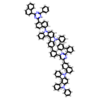 c1ccc(-c2nc(-c3cccc4ccccc34)nc(-c3cccc4c(-n5c6ccccc6c6c7c8ccc(-c9cccc(-c%10cc(-c%11ccc%12c(-n%13c%14ccccc%14c%14c%15c%16ccccc%16n(-c%16ccccc%16)c%15ccc%14%13)cccc%12c%11)nc(-c%11ccccc%11-c%11ccccc%11)n%10)c9)cc8n(-c8ccccc8)c7ccc65)cccc34)n2)cc1